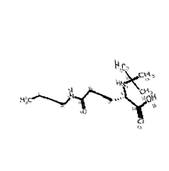 CCCNC(=O)CC[C@H](NC(C)(C)C)C(=O)O